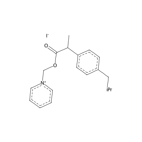 CC(C)Cc1ccc(C(C)C(=O)OC[n+]2ccccc2)cc1.[I-]